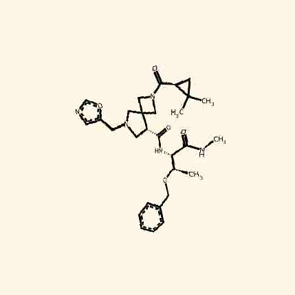 CNC(=O)[C@@H](NC(=O)[C@@H]1CN(Cc2cnco2)CC12CN(C(=O)[C@H]1CC1(C)C)C2)[C@@H](C)OCc1ccccc1